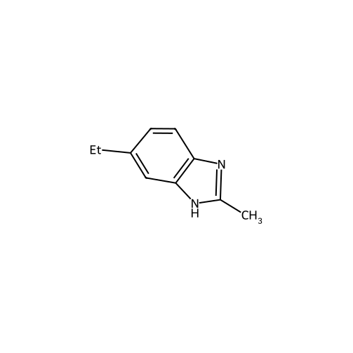 CCc1ccc2nc(C)[nH]c2c1